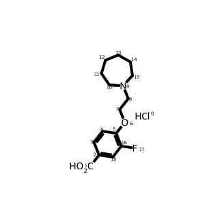 Cl.O=C(O)c1ccc(OCCN2CCCCCC2)c(F)c1